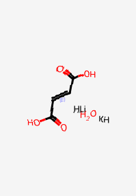 O.O=C(O)/C=C/C(=O)O.[KH].[LiH]